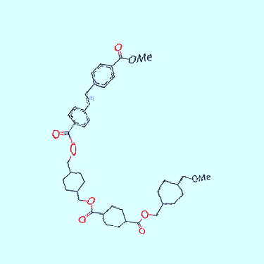 COCC1CCC(COC(=O)C2CCC(C(=O)OCC3CCC(COC(=O)c4ccc(/C=C/c5ccc(C(=O)OC)cc5)cc4)CC3)CC2)CC1